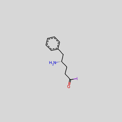 N[C@@H](CCC(=O)I)Cc1ccccc1